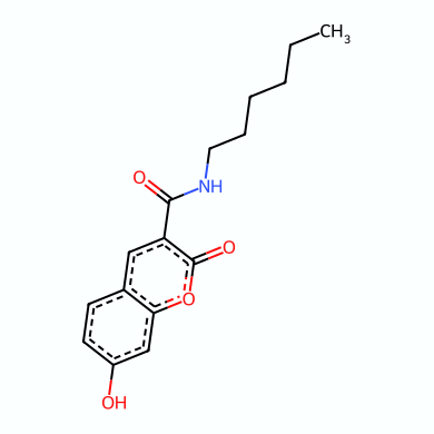 CCCCCCNC(=O)c1cc2ccc(O)cc2oc1=O